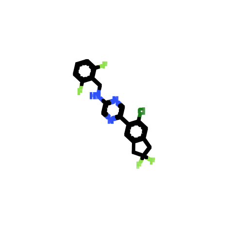 Fc1cccc(F)c1CNc1cnc(-c2cc3c(cc2Cl)CC(F)(F)C3)cn1